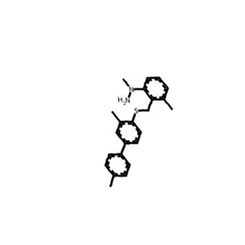 Cc1ccc(-c2ccc(SCc3c(C)cccc3N(C)N)c(C)c2)cc1